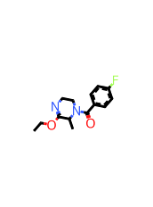 CCOC1=NCCN(C(=O)c2ccc(F)cc2)C1C